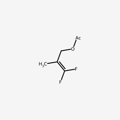 CC(=O)OCC(C)=C(F)F